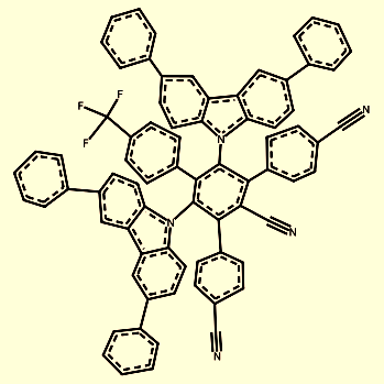 N#Cc1ccc(-c2c(C#N)c(-c3ccc(C#N)cc3)c(-n3c4ccc(-c5ccccc5)cc4c4cc(-c5ccccc5)ccc43)c(-c3ccc(C(F)(F)F)cc3)c2-n2c3ccc(-c4ccccc4)cc3c3cc(-c4ccccc4)ccc32)cc1